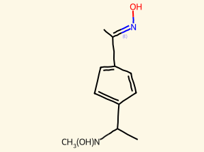 C/C(=N\O)c1ccc(C(C)N(C)O)cc1